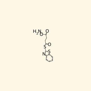 NOC(=O)CCC(=O)Sc1nc2ccccc2s1